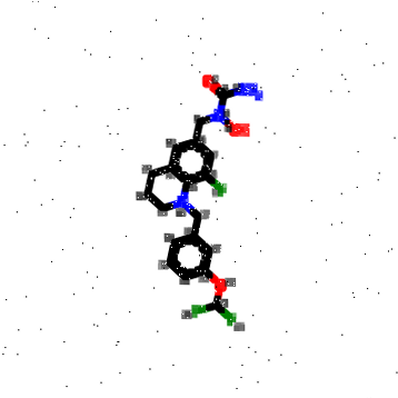 NC(=O)N(O)Cc1cc(F)c2c(c1)CCCN2Cc1cccc(OC(F)F)c1